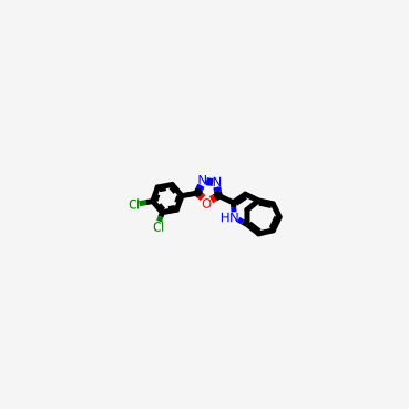 Clc1ccc(-c2nnc(C3=CC4=CC=CC=C(C4)N3)o2)cc1Cl